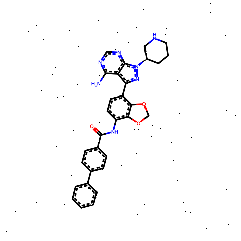 Nc1ncnc2c1c(-c1ccc(NC(=O)c3ccc(-c4ccccc4)cc3)c3c1OCO3)nn2[C@@H]1CCCNC1